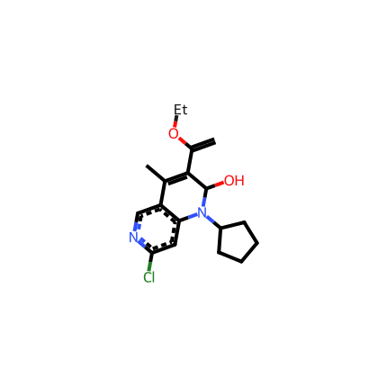 C=C(OCC)C1=C(C)c2cnc(Cl)cc2N(C2CCCC2)C1O